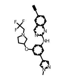 C#Cc1ccc2nc(Nc3cc(OC4CCN(CC(F)(F)F)C4)cc(-c4cnn(C)c4)c3)ncc2c1